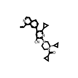 C=Cc1nccc2ccc(-c3cc(C#N)c(N4CCN(C(=O)C5CC5)[C@H](C5CC5)C4)nc3C3CC3)cc12